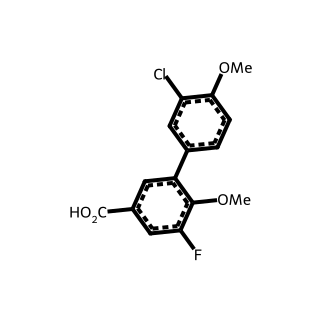 COc1ccc(-c2cc(C(=O)O)cc(F)c2OC)cc1Cl